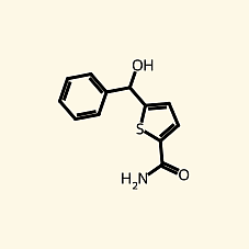 NC(=O)c1ccc(C(O)c2ccccc2)s1